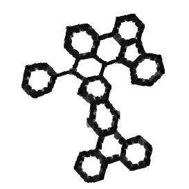 c1ccc(N2c3cc4nc5c6ccccc6c6ccccc6c5nc4cc3B3c4c(cccc42)-c2cccc4c5ccccc5n3c24)cc1